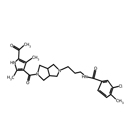 CC(=O)c1[nH]c(C)c(C(=O)N2CC3CN(CCCNC(=O)c4ccc(C)c(Cl)c4)CC3C2)c1C